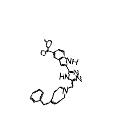 COC(=O)c1ccc2[nH]c(-c3nnc(CN4CCC(Cc5ccccc5)CC4)[nH]3)cc2c1